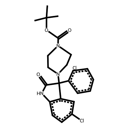 CC(C)(C)OC(=O)N1CCN(C2(c3ccccc3Cl)C(=O)Nc3ccc(Cl)cc32)CC1